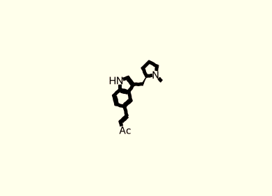 CC(=O)/C=C/c1ccc2[nH]cc(C[C@H]3CCCN3C)c2c1